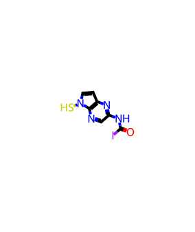 O=C(I)Nc1cnc2c(ccn2S)n1